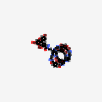 O=C(NCCCCC1CN2CCNC(=O)c3cccc(c3O)C(=O)NCCN(CCNC(=O)c3cccc(c3O)C(=O)N1)CCN1CCNC(=O)c3cccc(c3O)C(=O)NCCN(CCNC(=O)c3cccc(c3O)C(=O)NCC1)CC2)c1ccc(-c2c3ccc(=O)cc-3oc3cc(O)ccc23)c(C(=O)O)c1